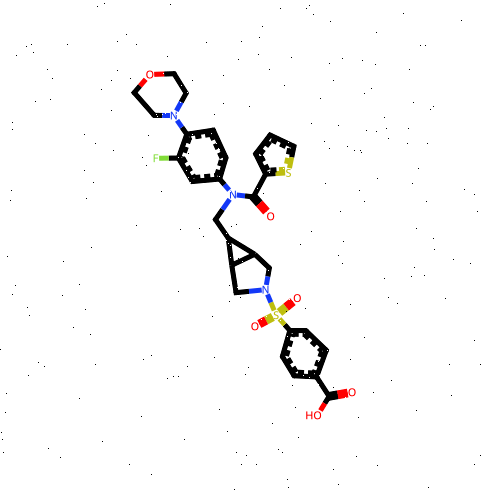 O=C(O)c1ccc(S(=O)(=O)N2CC3C(CN(C(=O)c4cccs4)c4ccc(N5CCOCC5)c(F)c4)C3C2)cc1